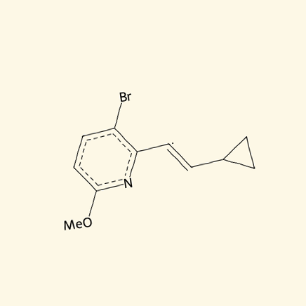 COc1ccc(Br)c(/[C]=C/C2CC2)n1